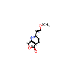 CO/C=C/c1ccc2c(n1)COC2=O